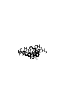 COc1cccc(C(=O)Nc2ccc(Cn3nc(C(F)(F)F)cc3C)cc2C)c1C(=O)N[C@@H](C)CSC